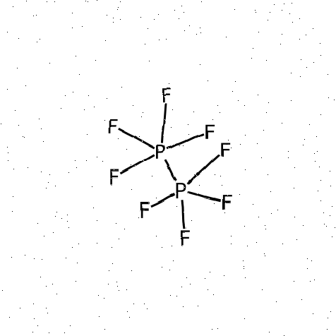 FP(F)(F)(F)P(F)(F)(F)F